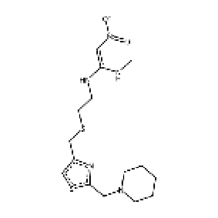 CNC(=C[N+](=O)[O-])NCCSCc1csc(CN2CCCCC2)n1